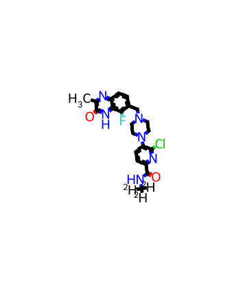 [2H]C([2H])([2H])NC(=O)c1ccc(N2CCN(Cc3ccc4nc(C)c(=O)[nH]c4c3F)CC2)c(Cl)n1